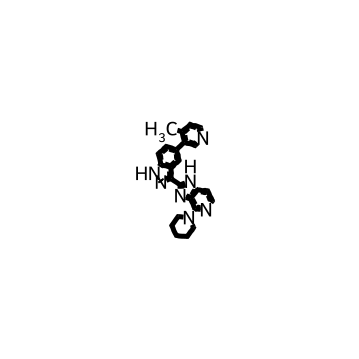 Cc1ccncc1-c1ccc2[nH]nc(-c3nc4c(N5CCCCC5)nccc4[nH]3)c2c1